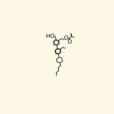 C=C(C)C(=O)OCCc1cc(-c2ccc(C3CCC(CCCCC)CC3)cc2CC)ccc1CO